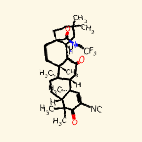 [C-]#[N+]C1=C[C@]2(C)[C@H]3CC(=O)[C@]45[C@@H]6CC(C)(C)CC[C@@]6(CC[C@@]4(C)[C@]3(C)CC[C@H]2C(C)(C)C1=O)C(=O)N5CC(F)(F)F